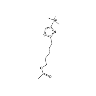 CC(=O)OCCCCCc1n[c]([Sn]([CH3])([CH3])[CH3])cs1